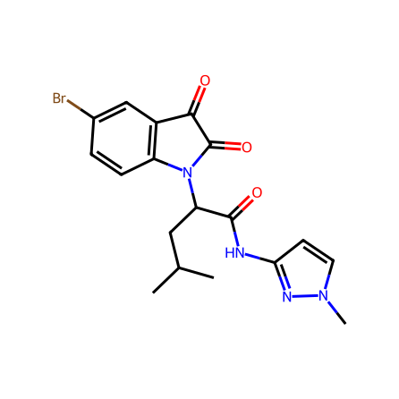 CC(C)CC(C(=O)Nc1ccn(C)n1)N1C(=O)C(=O)c2cc(Br)ccc21